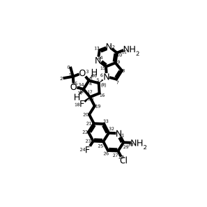 CC1(C)O[C@H]2[C@H](n3ccc4c(N)ncnc43)C[C@](F)(CCc3cc(F)c4cc(Cl)c(N)nc4c3)[C@H]2O1